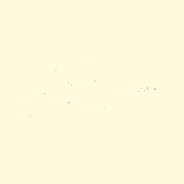 CNC(=O)c1ccc2cc(-c3ccccc3)n(C)c(=O)c2c1